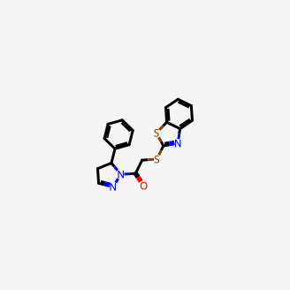 O=C(CSc1nc2ccccc2s1)N1N=CCC1c1ccccc1